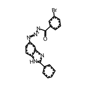 O=C(N=[N+]=Nc1ccc2[nH]c(-c3ccccc3)nc2c1)c1cccc(Br)c1